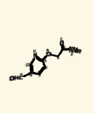 CNC(=O)COc1ccc(C=O)cn1